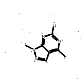 CCc1nc(C)c2cnn(C)c2n1